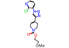 COCCOC(=O)N1CC=C(c2cn(-c3cccnc3Cl)nn2)CC1